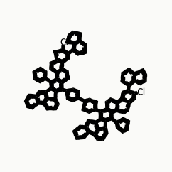 Clc1cc2ccc3c(ccc4c(-c5ccc(-c6ccc(-c7c8c(c(-c9ccccc9)c9c7ccc7c%10cc(-c%11cccc%12ccccc%11%12)c(Cl)cc%10ccc79)-c7cc9ccccc9c9cccc-8c79)cc6)cc5)c5c(c(-c6ccccc6)c43)-c3cccc4c3c-5cc3ccccc34)c2cc1-c1cccc2ccccc12